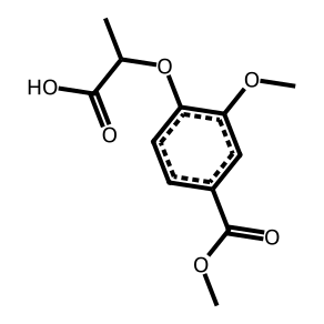 COC(=O)c1ccc(OC(C)C(=O)O)c(OC)c1